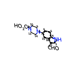 O=Cc1c[nH]c2ccc(N3CCN(C(=O)O)CC3)cc12